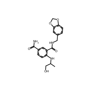 CC(CO)Nc1ccc(C(N)=O)cc1C(=O)NCc1ccc2c(c1)OCO2